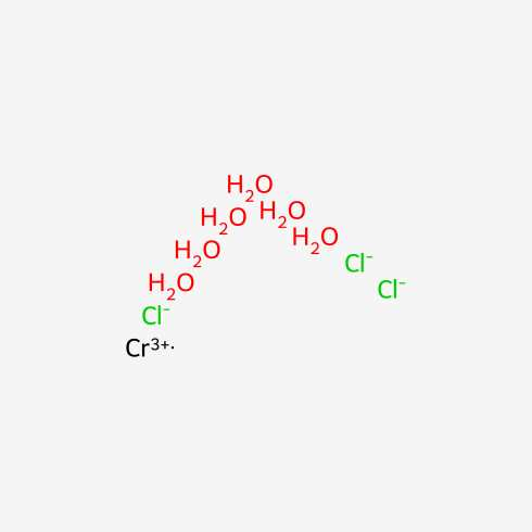 O.O.O.O.O.O.[Cl-].[Cl-].[Cl-].[Cr+3]